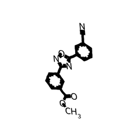 COC(=O)c1cccc(-c2noc(-c3cccc(C#N)c3)n2)c1